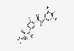 Cc1sc(C(=O)C(=O)NC(C)(C)C)cc1C(=O)Nc1cc(F)c(C)c(F)c1